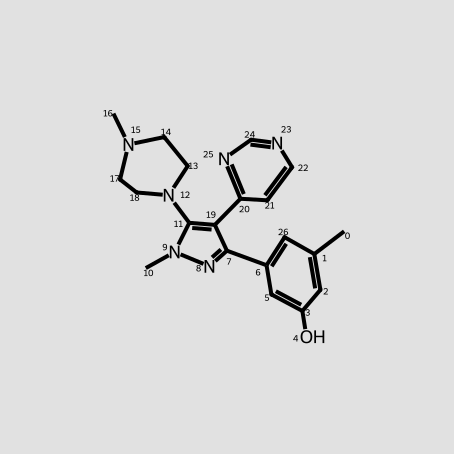 Cc1cc(O)cc(-c2nn(C)c(N3CCN(C)CC3)c2-c2ccncn2)c1